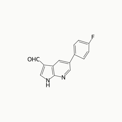 O=Cc1c[nH]c2ncc(-c3ccc(F)cc3)cc12